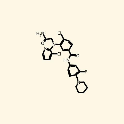 NC(=O)CN(c1cc(C(=O)Nc2ccc(N3CCCCC3)c(F)c2)ccc1Cl)c1ncccc1Cl